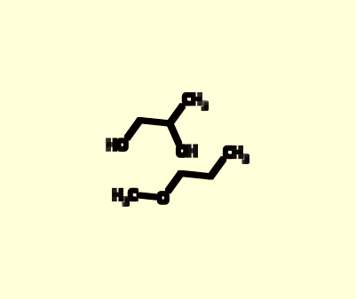 CC(O)CO.CCCOC